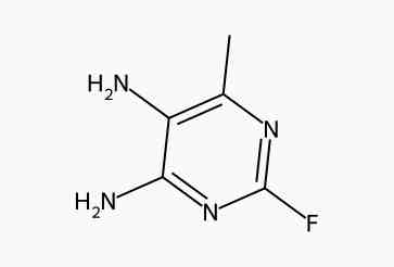 Cc1nc(F)nc(N)c1N